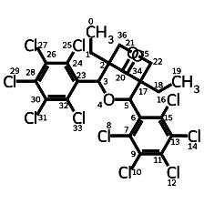 CCC1(C(OC(c2c(Cl)c(Cl)c(Cl)c(Cl)c2Cl)C2(CC)COC2)c2c(Cl)c(Cl)c(Cl)c(Cl)c2Cl)COC1